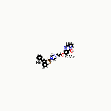 COc1cc2c(cc1OCCCN1CCN(C(=S)SCCC(C#N)(c3ccccc3)c3ccccc3)CC1)N=C[C@@H]1CCCN1C2=O